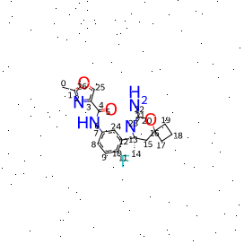 Cc1nc(C(=O)Nc2ccc(F)c([C@]3(C)CC4(CCC4)OC(N)=N3)c2)co1